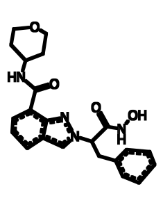 O=C(NC1CCOCC1)c1cccc2cn(C(Cc3ccccc3)C(=O)NO)nc12